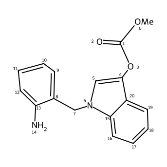 COC(=O)Oc1cn(Cc2ccccc2N)c2ccccc12